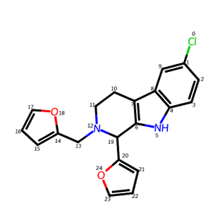 Clc1ccc2[nH]c3c(c2c1)CCN(Cc1ccco1)C3c1ccco1